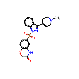 CN1CC=C(c2nn(S(=O)(=O)c3ccc4c(c3)NC(=O)CO4)c3ccccc23)CC1